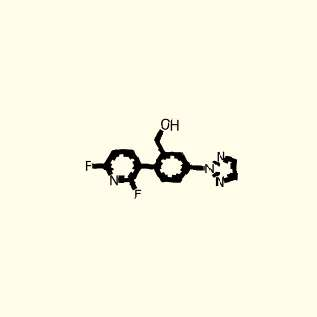 OCc1cc(-n2nccn2)ccc1-c1ccc(F)nc1F